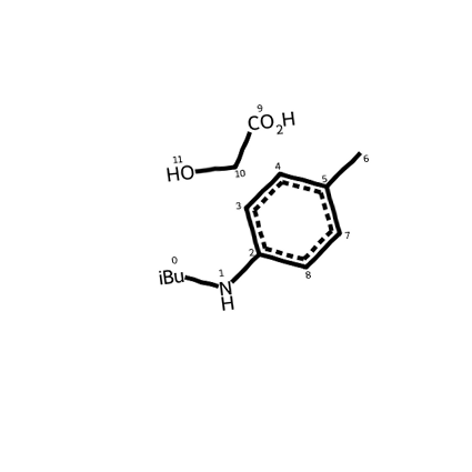 CCC(C)Nc1ccc(C)cc1.O=C(O)CO